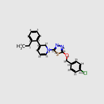 CCc1ccccc1C1=CC=CN(c2nnc(OCc3ccc(Cl)cc3)s2)C1